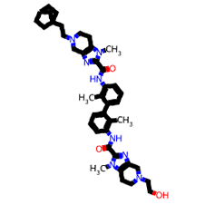 Cc1c(NC(=O)c2nc3c(n2C)CCN(CCO)C3)cccc1-c1cccc(NC(=O)c2nc3c(n2C)CCN(CCC24CCC(CC2)C4)C3)c1C